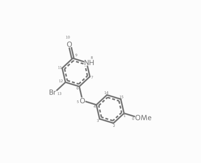 COc1ccc(Oc2c[nH]c(=O)cc2Br)cc1